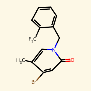 Cc1cn(Cc2ccccc2C(F)(F)F)c(=O)cc1Br